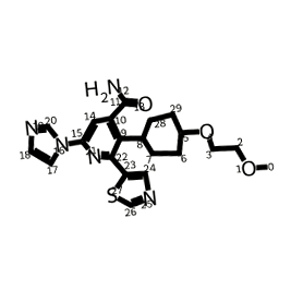 COCCOC1CCC(c2c(C(N)=O)cc(-n3ccnc3)nc2-c2cncs2)CC1